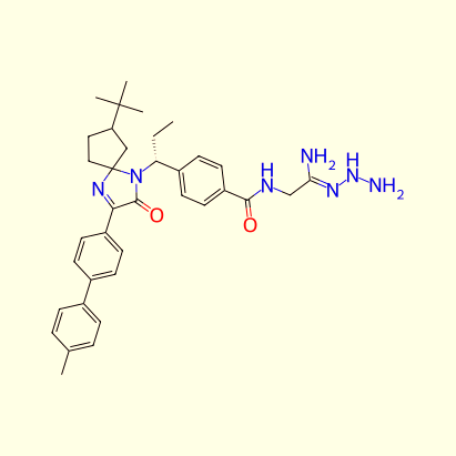 CC[C@H](c1ccc(C(=O)NC/C(N)=N/NN)cc1)N1C(=O)C(c2ccc(-c3ccc(C)cc3)cc2)=NC12CCC(C(C)(C)C)C2